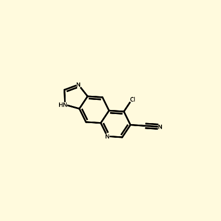 N#Cc1cnc2cc3[nH]cnc3cc2c1Cl